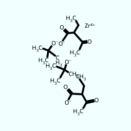 CC(C)(C)[O-].CC(C)(C)[O-].CCC(C(C)=O)C(=O)[O-].CCC(C(C)=O)C(=O)[O-].[Zr+4]